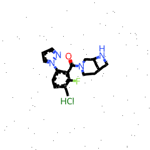 Cc1ccc(-n2cccn2)c(C(=O)N2CCC3CNC3C2)c1F.Cl